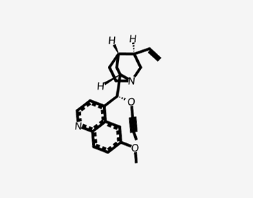 C=C[C@H]1CN2CC[C@H]1C[C@H]2[C@H](OC#CC)c1ccnc2ccc(OC)cc12